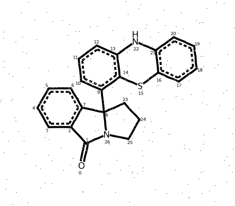 O=C1c2ccccc2C2(c3cccc4c3Sc3ccccc3N4)CCCN12